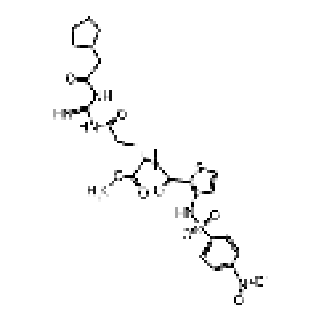 COC(=O)[C@H](CCC(=O)NC(=N)NC(=O)CC1CCCC1)NC(=O)c1sccc1NS(=O)(=O)c1ccc([N+](=O)[O-])cc1